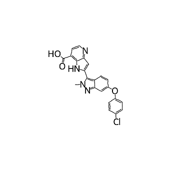 Cn1nc2cc(Oc3ccc(Cl)cc3)ccc2c1-c1cc2nccc(C(=O)O)c2[nH]1